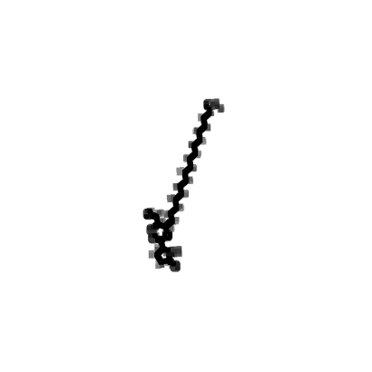 CCCCCCCCCCCCCCCCCC=C(OC(=O)C1CCC(=O)N1)C(=O)C=O